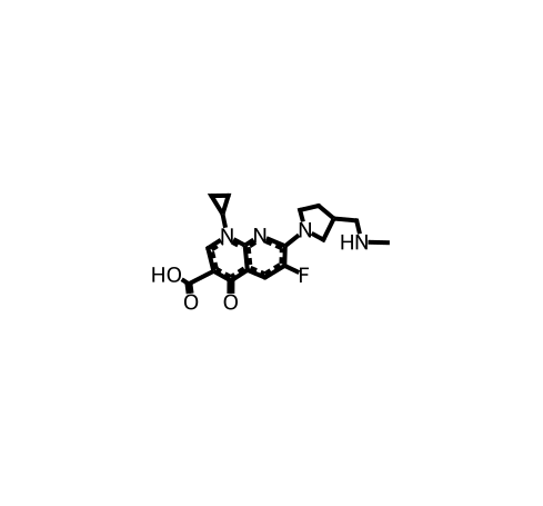 CNCC1CCN(c2nc3c(cc2F)c(=O)c(C(=O)O)cn3C2CC2)C1